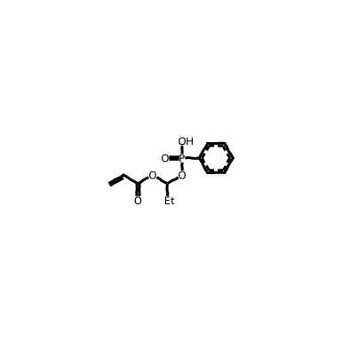 C=CC(=O)OC(CC)OP(=O)(O)c1ccccc1